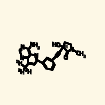 [2H]C([2H])([2H])c1cc(-c2cccc(C#C[C@]3(O)CCN(C)C3=O)c2)nc2c(N)ncnc12